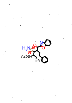 CC(=O)NC(CC(C)C)C(C(CCc1ccccc1)C(=O)c1nc2ccccc2o1)S(N)(=O)=O